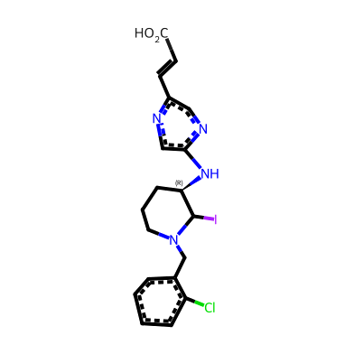 O=C(O)C=Cc1cnc(N[C@@H]2CCCN(Cc3ccccc3Cl)C2I)cn1